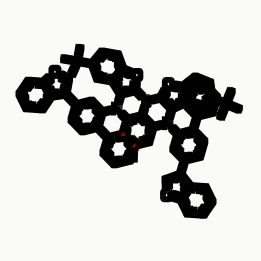 Cc1cc2c3c(c1)N(c1cc(-c4coc5ccccc45)ccc1-c1ccccc1)c1c(oc4ccc(C(C)(C)C)cc14)B3c1oc3ccc(C(C)(C)C)cc3c1N2c1cc(-c2coc3ccccc23)ccc1-c1ccccc1